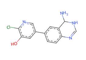 NC1NC=Nc2ccc(-c3cnc(Cl)c(O)c3)cc21